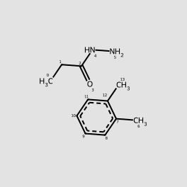 CCC(=O)NN.Cc1ccccc1C